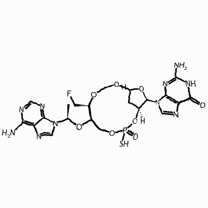 C[C@@H](OC1COP(=O)(S)O[C@H]2C[C@@H](OCO[C@@H]1CF)OC2n1cnc2c(=O)[nH]c(N)nc21)n1cnc2c(N)ncnc21